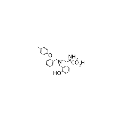 Cc1ccc(Oc2ccccc2CN(CC[C@H](N)C(=O)O)Cc2ccccc2O)cc1